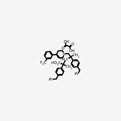 CC(C)Cc1ccc(C(C)(C)CN2CCC(c3cccc(C(F)(F)F)c3)=C[C@H]2CC(C)(C(=O)O)c2ccc(CC(C)C)cc2)cc1.O=C(O)C(=O)O